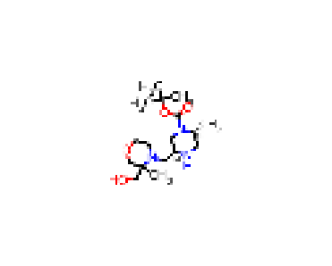 C[C@@H]1CN[C@@H](CN2CCOCC2(C)CO)CN1C(=O)OC(C)(C)C